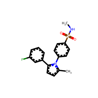 CNS(=O)(=O)c1ccc(-n2c(C)ccc2-c2cccc(F)c2)cc1